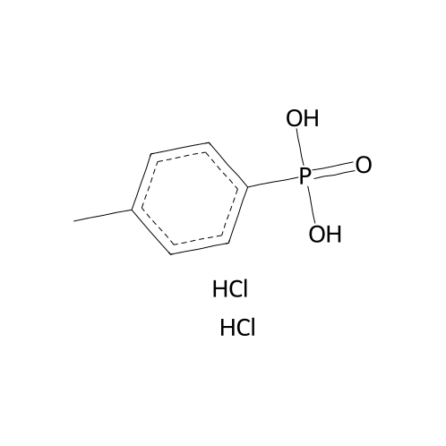 Cc1ccc(P(=O)(O)O)cc1.Cl.Cl